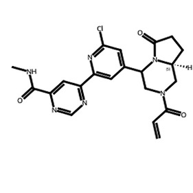 C=CC(=O)N1CC(c2cc(Cl)nc(-c3cc(C(=O)NC)ncn3)c2)N2C(=O)CC[C@H]2C1